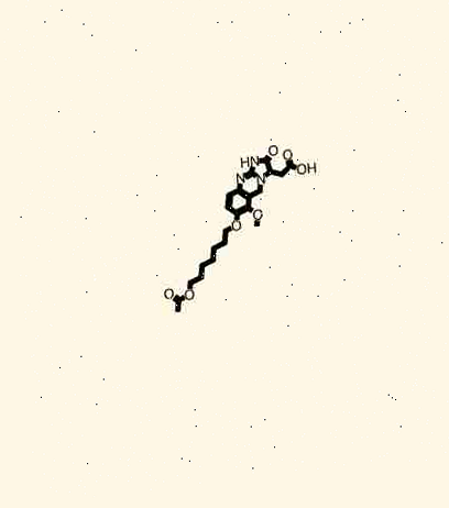 COc1c(OCCCCCCCOC(C)=O)ccc2c1CN1C(=N2)NC(=O)C1CC(=O)O